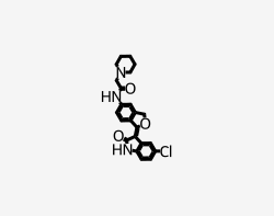 O=C(CN1CCCCC1)Nc1ccc2c(c1)COC2=C1C(=O)Nc2ccc(Cl)cc21